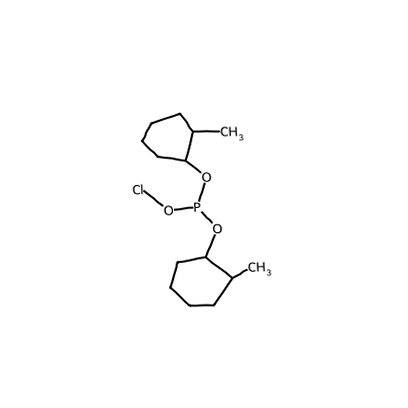 CC1CCCCC1OP(OCl)OC1CCCCC1C